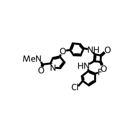 CNC(=O)c1cc(Oc2ccc(Nc3c(Nc4cc(Cl)ccc4F)c(=O)c3=O)cc2)ccn1